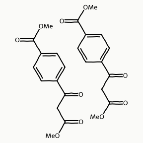 COC(=O)CC(=O)c1ccc(C(=O)OC)cc1.COC(=O)CC(=O)c1ccc(C(=O)OC)cc1